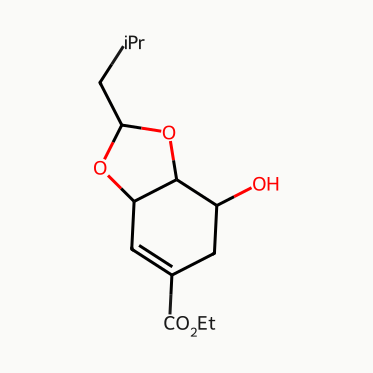 CCOC(=O)C1=CC2OC(CC(C)C)OC2C(O)C1